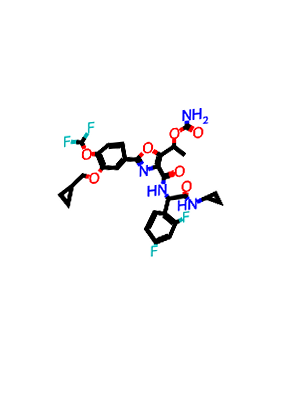 CC(OC(N)=O)c1oc(-c2ccc(OC(F)F)c(OCC3CC3)c2)nc1C(=O)NC(C(=O)NC1CC1)c1ccc(F)cc1F